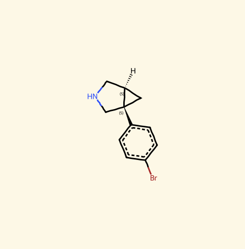 Brc1ccc([C@@]23CNC[C@H]2C3)cc1